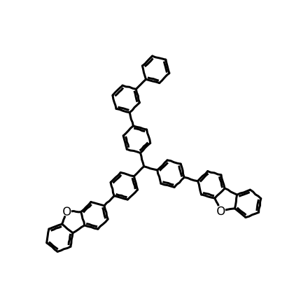 c1ccc(-c2cccc(-c3ccc(C(c4ccc(-c5ccc6c(c5)oc5ccccc56)cc4)c4ccc(-c5ccc6c(c5)oc5ccccc56)cc4)cc3)c2)cc1